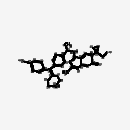 Cc1nc(N[C@H](C)c2ccc(C(=C3CCNCC3)c3ccc(F)cc3)cc2)c2cn(C3(CF)CC3)c(=O)cc2n1